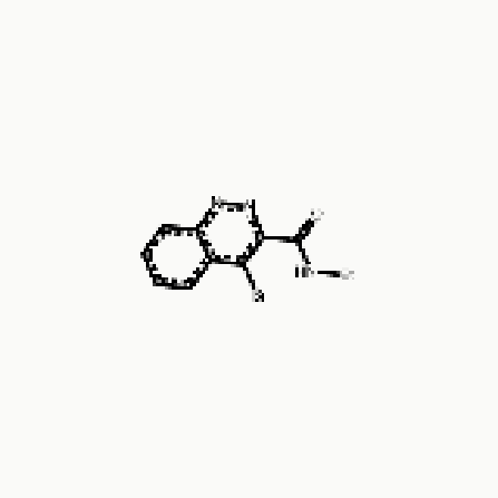 CCNC(=O)c1nnc2ccccc2c1Br